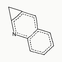 c1ccc2nc3c(cc2c1)C3